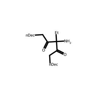 CCCCCCCCCCCC(=O)C(N)(CC)C(=O)CCCCCCCCCCC